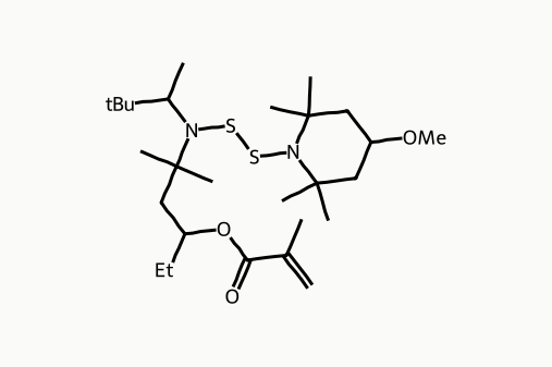 C=C(C)C(=O)OC(CC)CC(C)(C)N(SSN1C(C)(C)CC(OC)CC1(C)C)C(C)C(C)(C)C